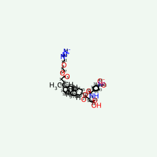 C[C@H](CCC(=O)OCCOCCN=[N+]=[N-])C1CC[C@H]2[C@@H]3CC[C@@H]4C[C@H](OC(=O)[C@H](CC(=O)O)NC(=O)c5ccc([N+](=O)[O-])cc5)CC[C@]4(C)[C@H]3CC[C@]12C